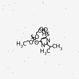 CCOP(=S)(OCC)Oc1cc(S)nc(C(C)C)n1.O=O